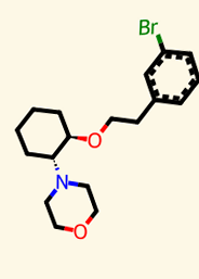 Brc1cccc(CCO[C@@H]2CCCC[C@H]2N2CCOCC2)c1